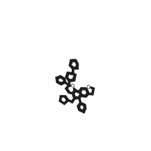 C1=CC(c2ccccc2)(c2ccc(-c3ccccc3)cc2)Oc2c1c(CC1=CCCC1)c(-c1ccccc1)c1cc3c(cc21)OCC3